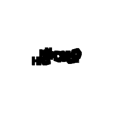 NC1(Cc2ccc3ccccc3c2)CCN(c2ncnc3c2CCN3)CC1